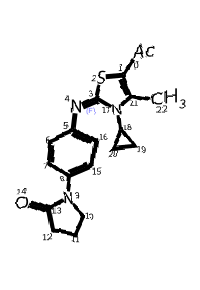 CC(=O)c1s/c(=N/c2ccc(N3CCCC3=O)cc2)n(C2CC2)c1C